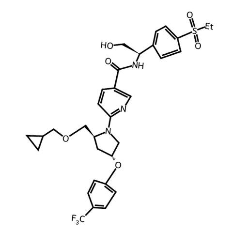 CCS(=O)(=O)c1ccc([C@H](CO)NC(=O)c2ccc(N3C[C@H](Oc4ccc(C(F)(F)F)cc4)C[C@H]3COCC3CC3)nc2)cc1